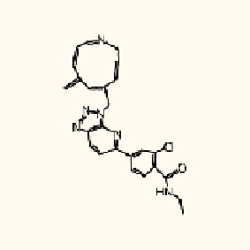 C=C1/C=C\C=N/C/C=C\C(Cn2nnc3ccc(-c4ccc(C(=O)NCC)c(Cl)c4)nc32)=C/1